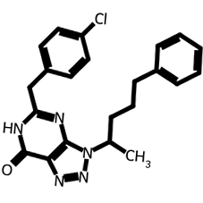 CC(CCCc1ccccc1)n1nnc2c(=O)[nH]c(Cc3ccc(Cl)cc3)nc21